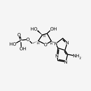 Nc1ncnc2c1ncn2[C@@H]1O[C@H](COP(=O)(O)O)[C@@H](O)C1O